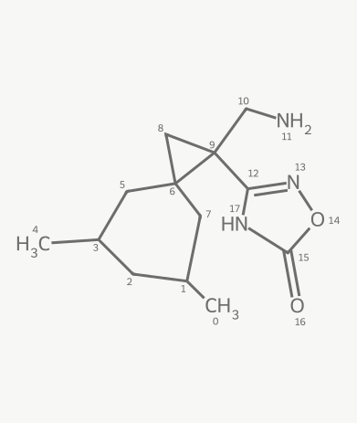 CC1CC(C)CC2(C1)CC2(CN)c1noc(=O)[nH]1